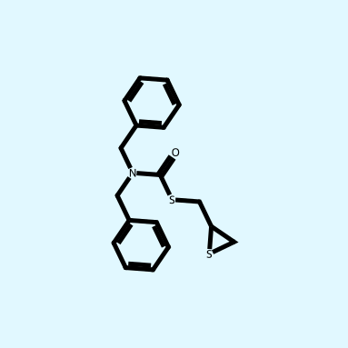 O=C(SCC1CS1)N(Cc1ccccc1)Cc1ccccc1